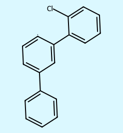 Clc1ccccc1-c1[c]ccc(-c2ccccc2)c1